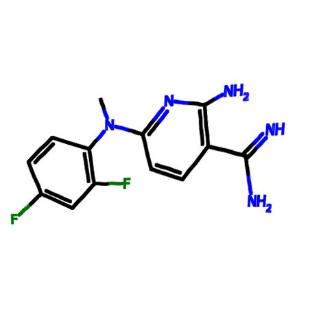 CN(c1ccc(C(=N)N)c(N)n1)c1ccc(F)cc1F